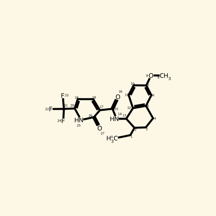 CCC1CCc2cc(OC)ccc2C1NC(=O)c1ccc(C(F)(F)F)[nH]c1=O